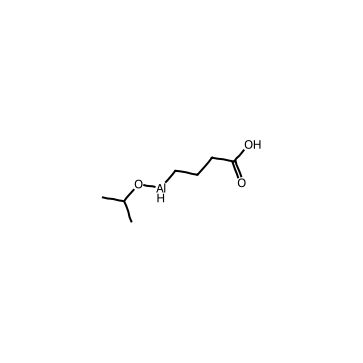 CC(C)[O][AlH][CH2]CCC(=O)O